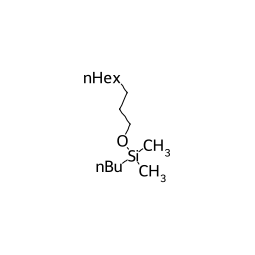 [CH2]CCCCCCCCO[Si](C)(C)CCCC